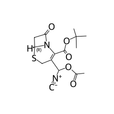 [C-]#[N+]C(OC(C)=O)C1=C(C(=O)OC(C)(C)C)N2C(=O)C[C@H]2SC1